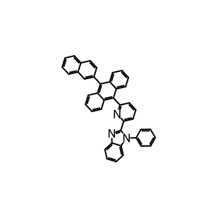 c1ccc(-n2c(-c3cccc(-c4c5ccccc5c(-c5ccc6ccccc6c5)c5ccccc45)n3)nc3ccccc32)cc1